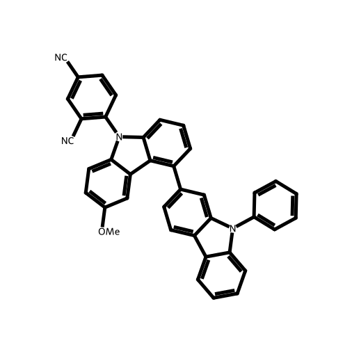 COc1ccc2c(c1)c1c(-c3ccc4c5ccccc5n(-c5ccccc5)c4c3)cccc1n2-c1ccc(C#N)cc1C#N